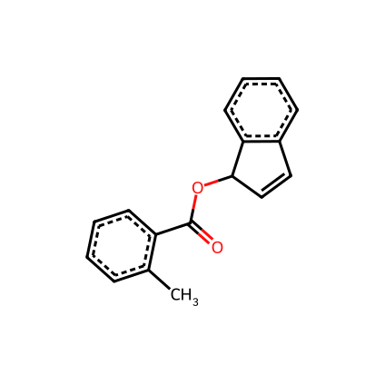 Cc1ccccc1C(=O)OC1C=Cc2ccccc21